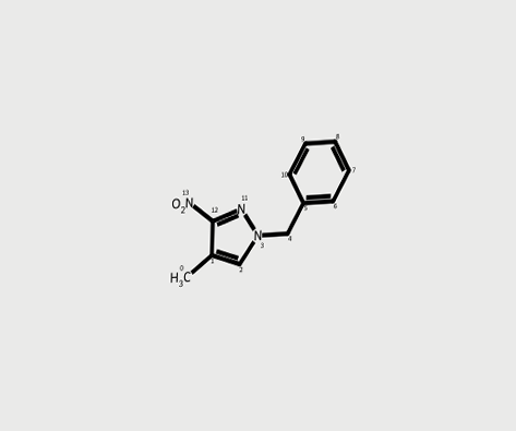 Cc1cn(Cc2ccccc2)nc1[N+](=O)[O-]